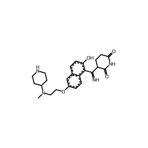 CN(CCOc1ccc2c(C(=N)C3CCC(=O)NC3=O)c(O)ccc2c1)C1CCNCC1